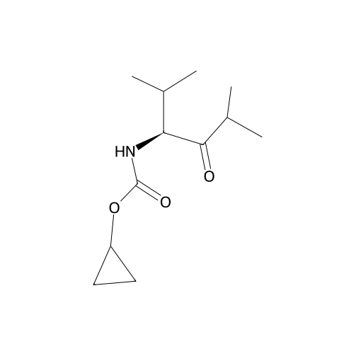 CC(C)C(=O)[C@@H](NC(=O)OC1CC1)C(C)C